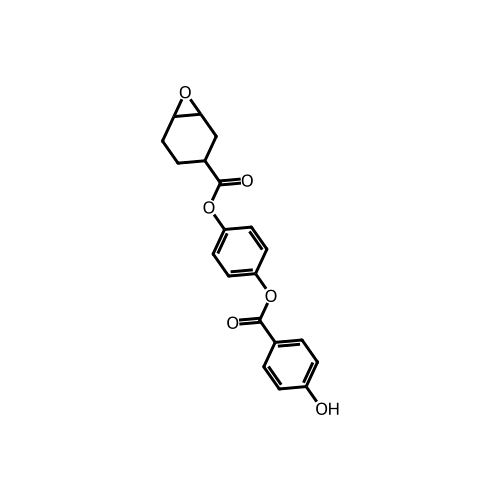 O=C(Oc1ccc(OC(=O)C2CCC3OC3C2)cc1)c1ccc(O)cc1